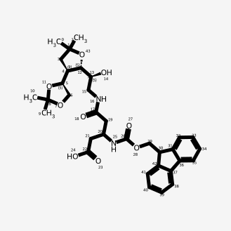 CC1(C)C[C@H]([C@H]2COC(C)(C)O2)[C@@H]([C@@H](O)CNC(=O)CC(CC(=O)O)NC(=O)OCC2c3ccccc3-c3ccccc32)O1